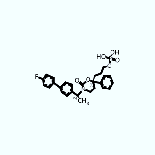 C[C@@H](c1ccc(-c2ccc(F)cc2)cc1)N1CC[C@@](CCCOP(=O)(O)O)(c2ccccc2)OC1=O